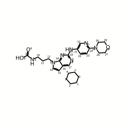 C1CCCCC1.O=C(O)NCCCn1ccc2cnc(Nc3ccc(N4CCOCC4)nc3)nc21